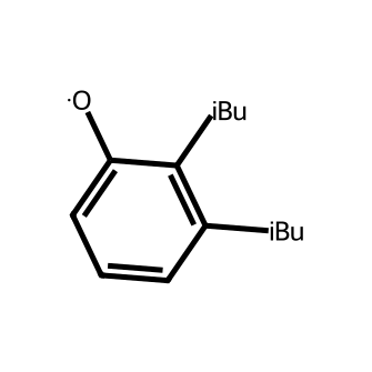 CCC(C)c1cccc([O])c1C(C)CC